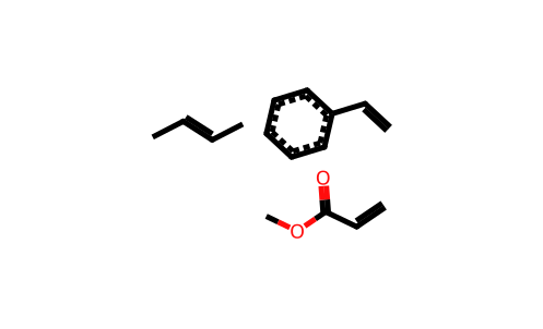 C=CC(=O)OC.C=Cc1ccccc1.CC=CC